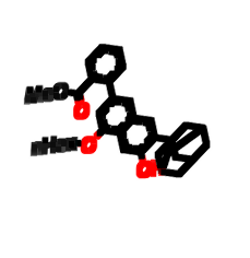 CCCCCCOc1cc(-c2ccccc2C(=O)OC)cc2cc(C34CC5CC(CC(C5)C3)C4)c(O)cc12